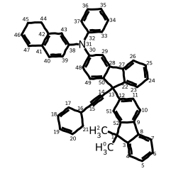 CC1(C)c2ccccc2-c2ccc(C3(C#CC4C=CC=CC4)c4ccccc4-c4cc(N(c5ccccc5)c5ccc6c(c5)CCC=C6)ccc43)cc21